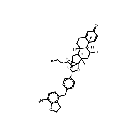 C[C@]12C=CC(=O)C=C1CC[C@@H]1[C@@H]2[C@@H](O)C[C@@]2(C)[C@H]1C[C@H]1O[C@@H](c3ccc(Cc4ccc(N)c5c4CCO5)cc3)O[C@]12C(=O)COCF